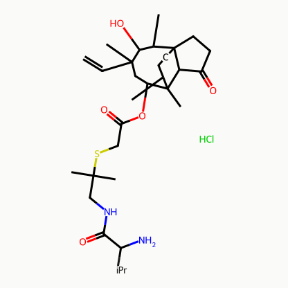 C=CC1(C)CC(OC(=O)CSC(C)(C)CNC(=O)C(N)C(C)C)C2(C)C(C)CCC3(CCC(=O)C32)C(C)C1O.Cl